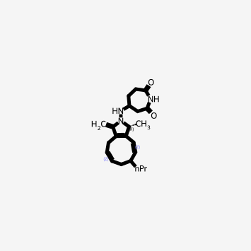 C=C1C2=C(/C=C\C(CCC)C/C=C\C2)[C@@H](C)N1NC1CCC(=O)NC(=O)C1